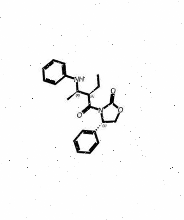 CC[C@@H](C(=O)N1C(=O)OC[C@@H]1c1ccccc1)[C@@H](C)Nc1ccccc1